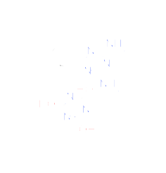 Nc1nc(N)nc(-c2ccccc2)n1.Oc1nc(O)nc(O)n1